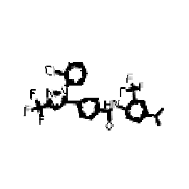 CC(C)c1ccc(NC(=O)c2ccc(-c3cc(C(F)(F)F)nn3-c3ccccc3Cl)cc2)c(C(F)(F)F)c1